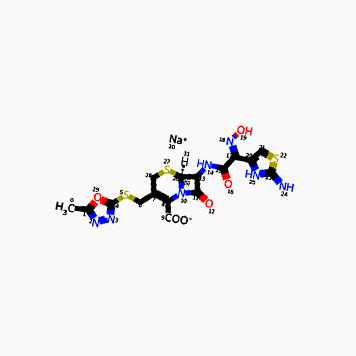 Cc1nnc(SCC2=C(C(=O)[O-])N3C(=O)C(NC(=O)C(=NO)c4csc(=N)[nH]4)[C@@H]3SC2)o1.[Na+]